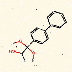 COC(OC)(c1ccc(-c2ccccc2)cc1)C(C)O